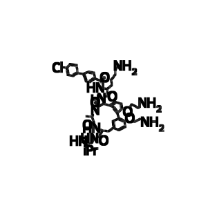 CC(C)C(=N)CNC(=O)C1Cc2ccc(OCCN)c(c2)-c2cc(ccc2OCCN)C(N(C)C(=O)C(CCCCN)NC(=O)c2ccc(-c3ccc(Cl)cc3)cc2)C(=O)NC(C)C(=O)N1